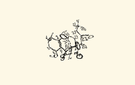 COc1cccc(OC)c1C(=O)C1(C(C)(P=O)C(=O)OCC(C)CC(C)(C)C)CCCC1